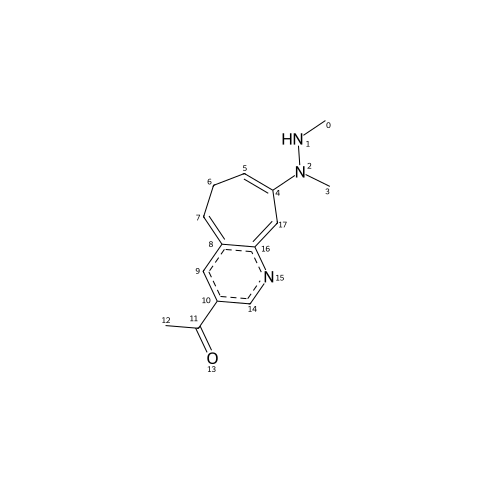 CNN(C)C1=CCC=c2cc(C(C)=O)cnc2=C1